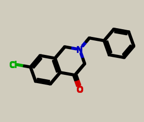 O=C1CN(Cc2ccccc2)Cc2cc(Cl)ccc21